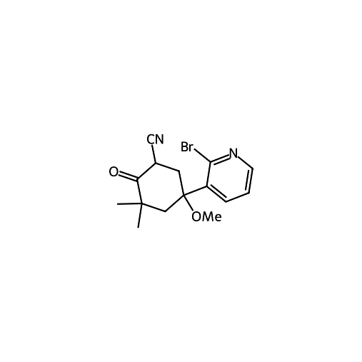 COC1(c2cccnc2Br)CC(C#N)C(=O)C(C)(C)C1